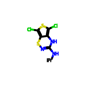 CC(C)NC1=NSc2c(Cl)sc(Cl)c2N1